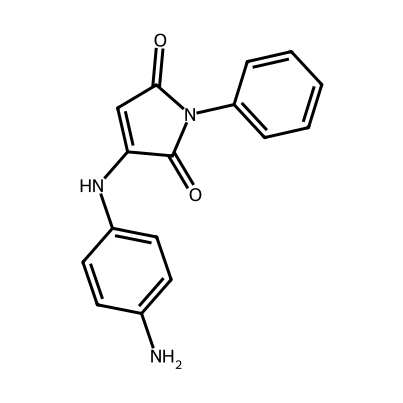 Nc1ccc(NC2=CC(=O)N(c3ccccc3)C2=O)cc1